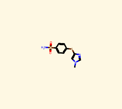 Cn1cnc(Sc2ccc(S(N)(=O)=O)cc2)c1